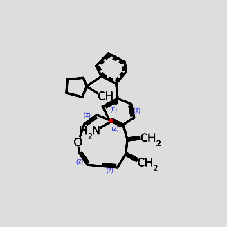 C=C1/C=C\C=C/O\C=C/C=C(/C=C\C(=C/CN)c2ccccc2C2(C)CCCC2)C1=C